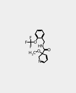 COC1(C(=O)NCc2ccccc2OC(F)(F)F)C=CC=NC1